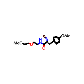 COCCOCCNC(=O)[C@H](Cc1ccc(OC)cc1)N=S